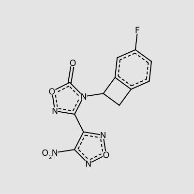 O=c1onc(-c2nonc2[N+](=O)[O-])n1C1Cc2ccc(F)cc21